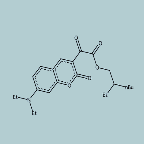 CCCCC(CC)COC(=O)C(=O)c1cc2ccc(N(CC)CC)cc2oc1=O